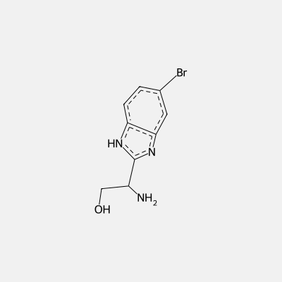 NC(CO)c1nc2cc(Br)ccc2[nH]1